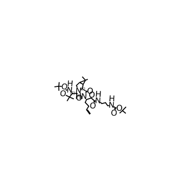 C=CCCC(NC(=O)[C@@H]1C2C(CN1C(=O)[C@@H](NC(=O)OC(C)(C)C)C(C)(C)C)C2(C)C)C(=O)C(=O)NCCCNC(=O)OC(C)(C)C